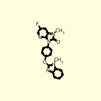 Cn1c(Oc2ccc(-n3c(=O)n(C)c4cc(F)cnc43)cc2)nc2ccccc21